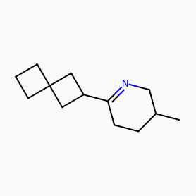 CC1CCC(C2CC3(CCC3)C2)=NC1